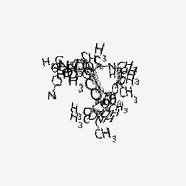 CCCNC[C@]1(O)[C@H](C)O[C@@H](O[C@H]2[C@H](C)[C@@H](O[C@@H]3O[C@H](C)C[C@H](N(C)S(=O)(=O)c4ccc(C#N)cc4)[C@H]3O)[C@](C)(O)C[C@@H](C)CN[C@H](C)[C@@H](O)[C@](C)(O)[C@@H](CC)OC(=O)[C@@H]2C)C[C@@]1(C)OC